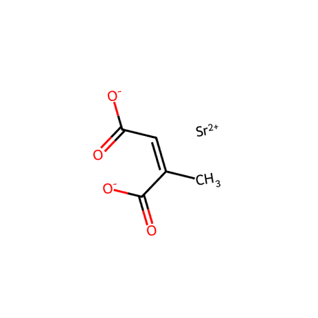 CC(=CC(=O)[O-])C(=O)[O-].[Sr+2]